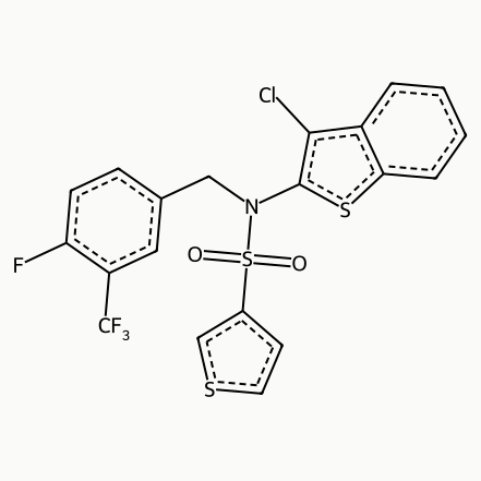 O=S(=O)(c1ccsc1)N(Cc1ccc(F)c(C(F)(F)F)c1)c1sc2ccccc2c1Cl